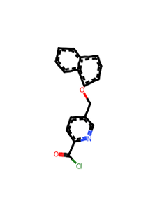 O=C(Cl)c1ccc(COc2cccc3ccccc23)cn1